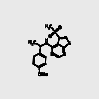 COc1ccc(C(C)Nc2ncnc3scc(S(C)(=O)=O)c23)cc1